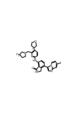 O=C1NCc2c(-c3cnc4cc(F)ccn34)ccc(Nc3ccc([C@H]4CCOC4)c(CN4CC[C@@H](F)C4)n3)c21